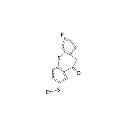 CCSc1ccc2c(c1)C(=O)Cc1ccc(F)cc1S2